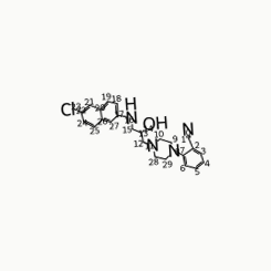 N#Cc1ccccc1N1CCN(CC(O)CNc2ccc3cc(Cl)ccc3c2)CC1